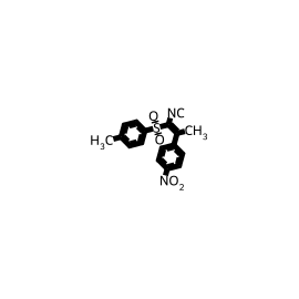 [C-]#[N+]/C(=C(\C)c1ccc([N+](=O)[O-])cc1)S(=O)(=O)c1ccc(C)cc1